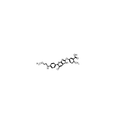 COCCNc1ccc(-c2nc3nc(OC4=CCC(C)C(C(=O)O)=C4)[nH]c3cc2Cl)cc1